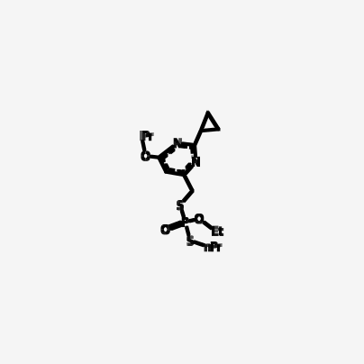 CCCSP(=O)(OCC)SCc1cc(OC(C)C)nc(C2CC2)n1